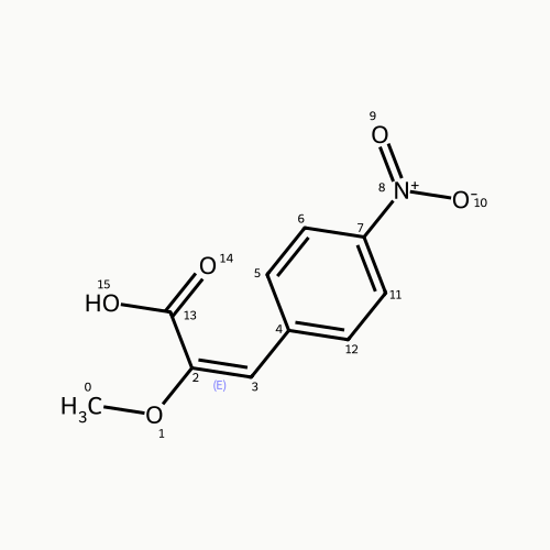 CO/C(=C/c1ccc([N+](=O)[O-])cc1)C(=O)O